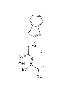 CC/C(=C\C(CSc1nc2ccccc2s1)=N/O)C(C)[N+](=O)[O-]